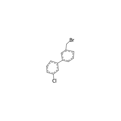 Clc1cccc(-c2cccc(CBr)c2)c1